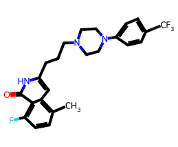 Cc1ccc(F)c2c(=O)[nH]c(CCCN3CCN(c4ccc(C(F)(F)F)cc4)CC3)cc12